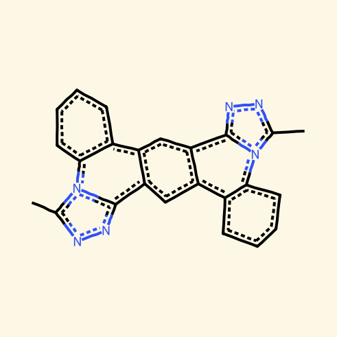 Cc1nnc2c3cc4c5ccccc5n5c(C)nnc5c4cc3c3ccccc3n12